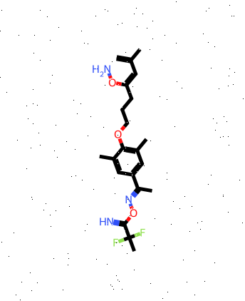 C=C(C)/C=C(/CCCOc1c(C)cc(/C(C)=N/OC(=N)C(C)(F)F)cc1C)ON